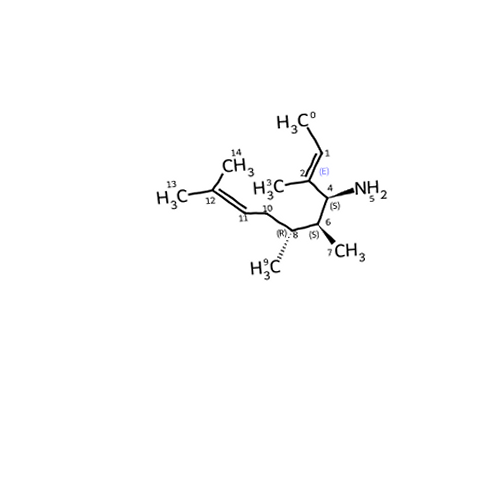 C/C=C(\C)[C@@H](N)[C@@H](C)[C@H](C)CC=C(C)C